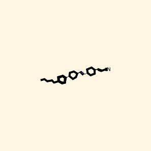 CCCCCc1ccc([C@H]2CC[C@H](/C=C/[C@H]3CC[C@H](C=CC#N)CC3)CC2)cc1